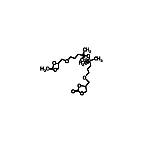 C=C1OCC(COCCC[Si](C)(C)O[Si](C)(C)CCCOCC2COC(=O)O2)O1